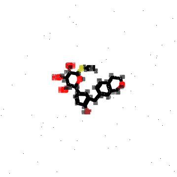 CS[C@H]1O[C@@H](c2ccc(Br)c(Cc3ccc4c(c3)COCC4)c2)[C@H](O)[C@@H](O)[C@@H]1O